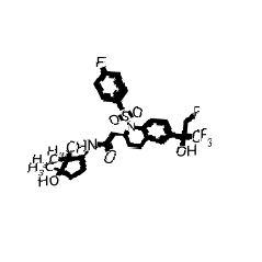 CC1(C)[C@@H](NC(=O)C[C@@H]2CCc3cc(C(O)(CF)C(F)(F)F)ccc3N2S(=O)(=O)c2ccc(F)cc2)CC[C@]1(C)O